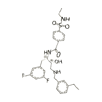 CCNS(=O)(=O)c1ccc(C(=O)N[C@@H](Cc2cc(F)cc(F)c2)[C@H](O)CNCc2cccc(CC)c2)cc1